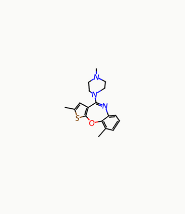 Cc1cc2c(s1)Oc1c(C)cccc1N=C2N1CCN(C)CC1